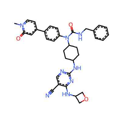 Cn1ccc(-c2ccc(N(C(=O)NCc3ccccc3)C3CCC(Nc4ncc(C#N)c(NC5COC5)n4)CC3)cc2)cc1=O